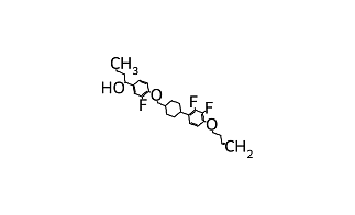 C=CCCOc1ccc(C2CCC(COc3ccc(C(O)CCC)cc3F)CC2)c(F)c1F